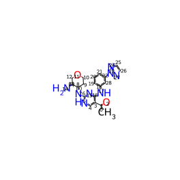 CC(=O)c1cnc(N[C@@H]2CCOC[C@@H]2N)nc1Nc1cccc(-n2nccn2)c1